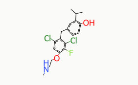 CNCCOc1cc(Cl)c(Cc2ccc(O)c(C(C)C)c2)c(Cl)c1F